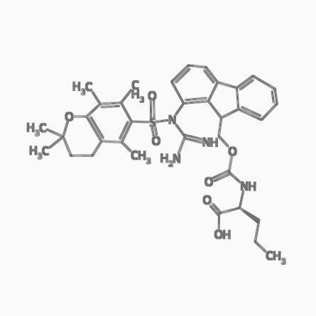 CCC[C@H](NC(=O)OCC1c2ccccc2-c2cccc(N(C(=N)N)S(=O)(=O)c3c(C)c(C)c4c(c3C)CCC(C)(C)O4)c21)C(=O)O